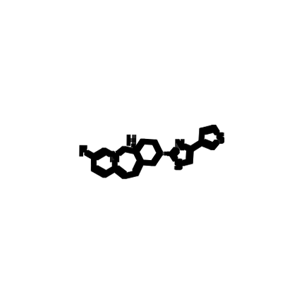 FC1=CN2C[C@H]3CC[C@H](c4nc(-c5ccsc5)cs4)CC3=CC=C2C=C1